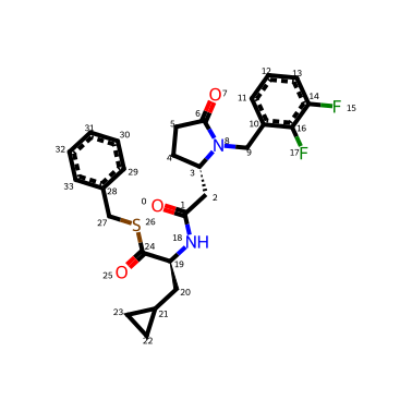 O=C(C[C@@H]1CCC(=O)N1Cc1cccc(F)c1F)N[C@@H](CC1CC1)C(=O)SCc1ccccc1